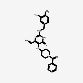 Cc1ccc(CNc2nc(C=N)c(NC3CCN(C(=O)c4ccncc4)CC3)c(=O)[nH]2)cc1C